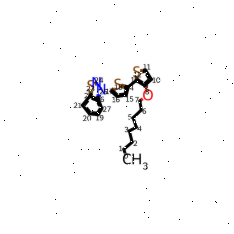 CCCCCCCCOc1ccsc1-c1cccs1.c1ccc2snnc2c1